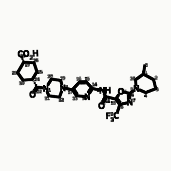 CC1CCCN(c2nc(C(F)(F)F)c(C(=O)Nc3ccc(N4CCN(C(=O)[C@H]5CC[C@@H](C(=O)O)CC5)CC4)cn3)o2)C1